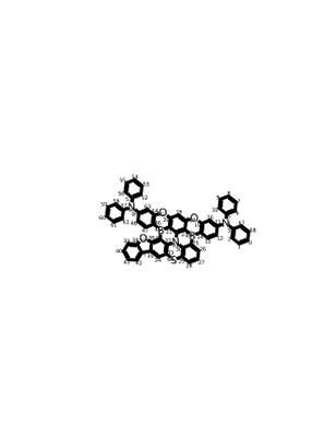 c1ccc(N(c2ccccc2)c2ccc3c(c2)Oc2cc4c5c6c2B3c2cccc3c2N6c2c(cc6c(oc7ccccc76)c2B5c2ccc(N(c5ccccc5)c5ccccc5)cc2O4)S3)cc1